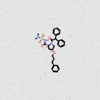 CN(C)S(=O)(=O)NC(=O)[C@@H]1C[C@H](OCCCc2ccccc2)CN1C(=O)C(c1ccccc1)c1ccccc1